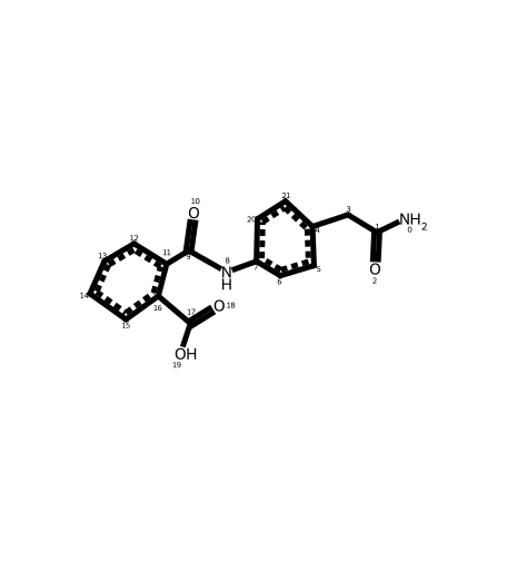 NC(=O)Cc1ccc(NC(=O)c2ccccc2C(=O)O)cc1